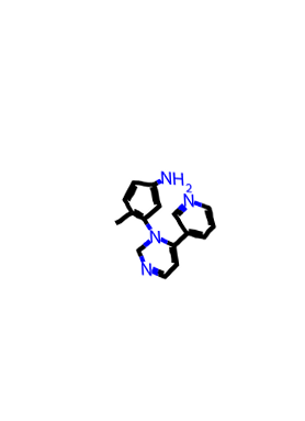 Cc1ccc(N)cc1N1CN=CC=C1c1cccnc1